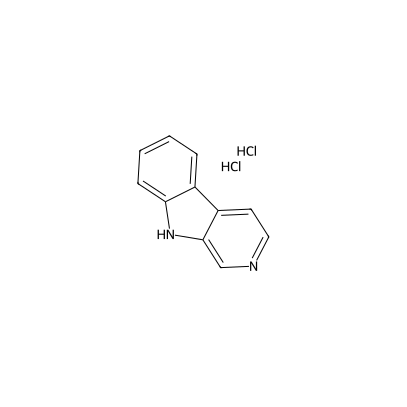 Cl.Cl.c1ccc2c(c1)[nH]c1cnccc12